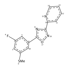 CSc1cc(F)cc(-c2nc(-c3ccccn3)no2)c1